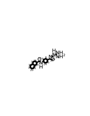 N=C(N)Nc1nc(-c2ccc(NC(=O)c3ccc4ccccc4c3)cc2)cs1